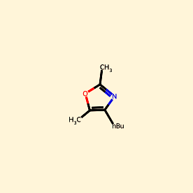 CCCCc1nc(C)oc1C